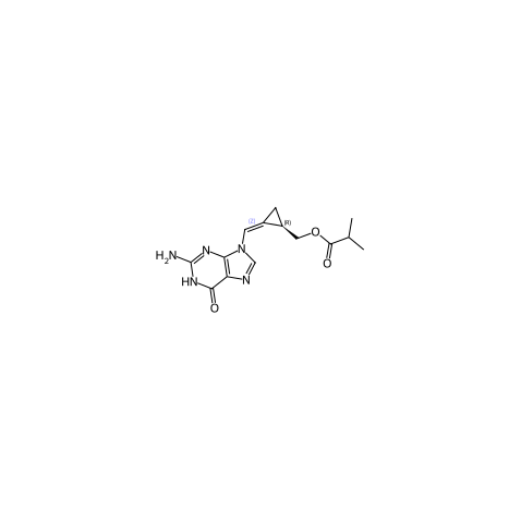 CC(C)C(=O)OC[C@@H]1C/C1=C/n1cnc2c(=O)[nH]c(N)nc21